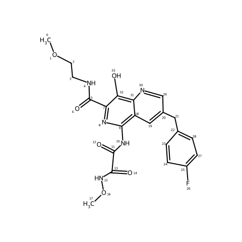 COCCNC(=O)c1nc(NC(=O)C(=O)NOC)c2cc(Cc3ccc(F)cc3)cnc2c1O